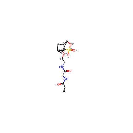 C=CC(=O)NCC(=O)NCCOC1C2CC3C1OS(=O)(=O)C3C2